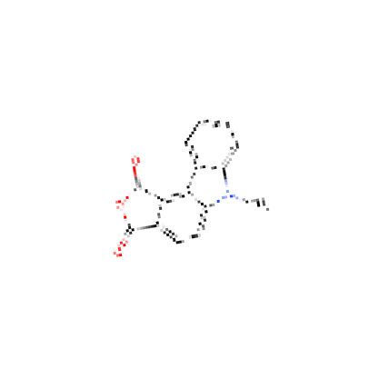 Cn1c2ccccc2c2c3c(ccc21)C(=O)OC3=O